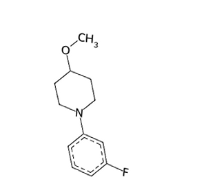 COC1CCN(c2cccc(F)c2)CC1